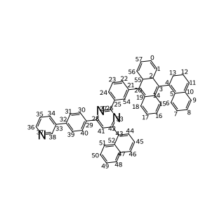 C1=CC2C(C3=c4ccccc4=CCC3)=c3ccccc3=C(c3cccc(-c4nc(-c5ccc(-c6cccnc6)cc5)cc(-c5cccc6ccccc56)n4)c3)C2C=C1